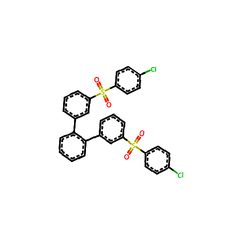 O=S(=O)(c1ccc(Cl)cc1)c1cccc(-c2ccccc2-c2cccc(S(=O)(=O)c3ccc(Cl)cc3)c2)c1